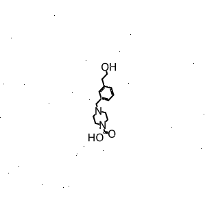 O=C(O)N1CCN(Cc2cccc(CCO)c2)CC1